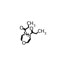 CCC(=O)n1ccoccn1C(=O)CC